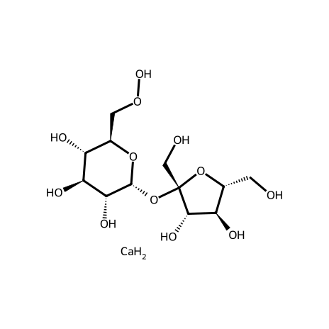 OC[C@H]1O[C@@](CO)(O[C@H]2O[C@H](COO)[C@@H](O)[C@H](O)[C@H]2O)[C@@H](O)[C@@H]1O.[CaH2]